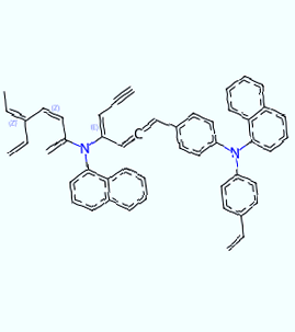 C#C/C=C(\C=C=Cc1ccc(N(c2ccc(C=C)cc2)c2cccc3ccccc23)cc1)N(C(=C)/C=C\C(C=C)=C/C)c1cccc2ccccc12